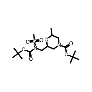 CC1CN(C(=O)OC(C)(C)C)CC(CN(C(=O)OC(C)(C)C)S(C)(=O)=O)O1